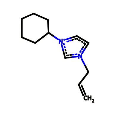 C=CCn1cc[n+](C2CCCCC2)c1